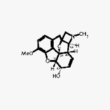 COc1ccc2c3c1O[C@H]1[C@@H](O)C=C[C@H]4[C@@H]5N(C)CC5(C2)C[C@@]341